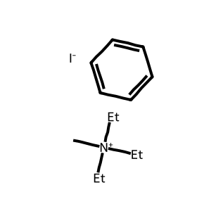 CC[N+](C)(CC)CC.[I-].c1ccccc1